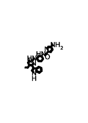 CCc1cnc(N[C@@H]2CCC[C@H](NC(=O)c3ccc(N)cn3)C2)nc1-c1c[nH]c2ccccc12